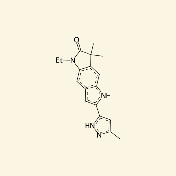 CCN1C(=O)C(C)(C)c2cc3[nH]c(-c4cc(C)n[nH]4)cc3cc21